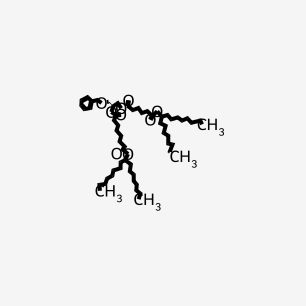 CCCCCCCCC(CCCCCCCC)OC(=O)CCCCCCC(=O)O[C@H](COCc1ccccc1)COC(=O)CCCCC(=O)OC(CCCCCCCC)CCCCCCCC